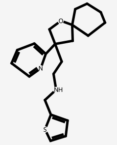 c1ccc(C2(CCNCc3cccs3)COC3(CCCCC3)C2)nc1